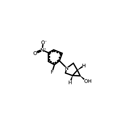 O=[N+]([O-])c1ccc(N2C[C@@H]3[C@@H](O)[C@@H]3C2)c(F)c1